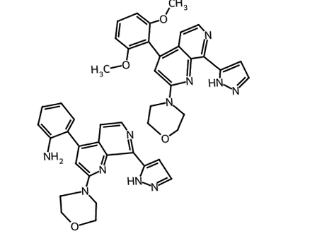 COc1cccc(OC)c1-c1cc(N2CCOCC2)nc2c(-c3ccn[nH]3)nccc12.Nc1ccccc1-c1cc(N2CCOCC2)nc2c(-c3ccn[nH]3)nccc12